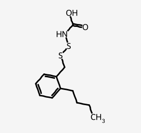 CCCCc1ccccc1CSSNC(=O)O